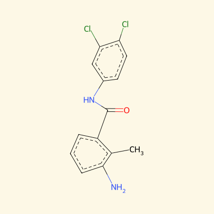 Cc1c(N)cccc1C(=O)Nc1ccc(Cl)c(Cl)c1